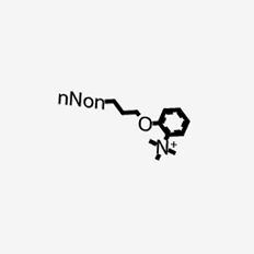 CCCCCCCCCCCCOc1ccccc1[N+](C)(C)C